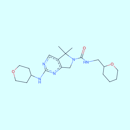 CC1(C)c2cnc(NC3CCOCC3)nc2CN1C(=O)NCC1CCCCO1